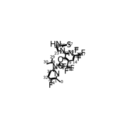 Cc1nc(N(C(=O)Oc2c(C(F)(F)F)cc(C(F)(F)F)nc2-n2cc[nH]c2=S)C(C)C)ccc1F